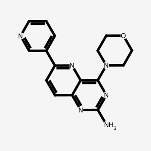 Nc1nc(N2CCOCC2)c2nc(-c3cccnc3)ccc2n1